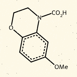 COc1ccc2c(c1)N(C(=O)O)CCO2